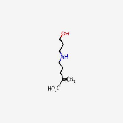 C=C(CCCNCCCO)C(=O)O